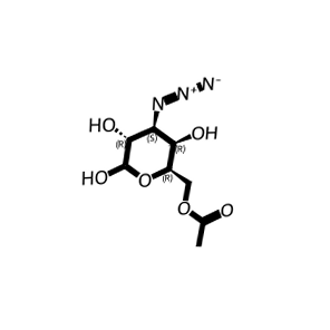 CC(=O)OC[C@H]1OC(O)[C@H](O)[C@@H](N=[N+]=[N-])[C@H]1O